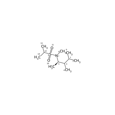 CC(C)C(C)[C@@H](C)N(C)S(=O)(=O)C(C)C